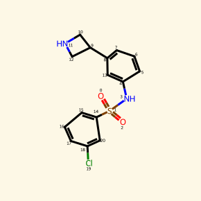 O=S(=O)(Nc1cccc(C2CNC2)c1)c1cccc(Cl)c1